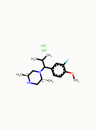 COc1ccc(C(C(C)C)N2C[C@H](C)NC[C@H]2C)cc1F.Cl.Cl